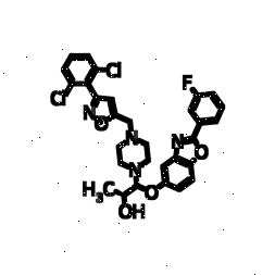 C[C@H](O)C(Oc1ccc2oc(-c3cccc(F)c3)nc2c1)N1CCN(Cc2cc(-c3c(Cl)cccc3Cl)no2)CC1